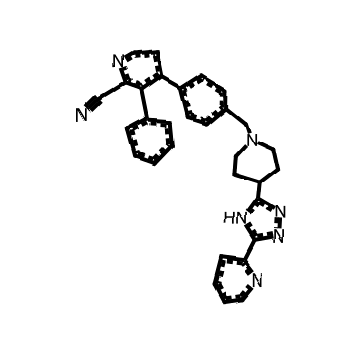 N#Cc1nccc(-c2ccc(CN3CCC(c4nnc(-c5ccccn5)[nH]4)CC3)cc2)c1-c1ccccc1